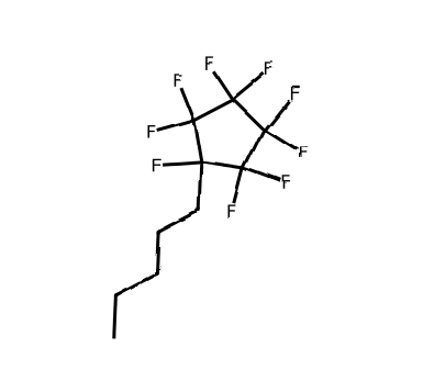 CCCCCC1(F)C(F)(F)C(F)(F)C(F)(F)C1(F)F